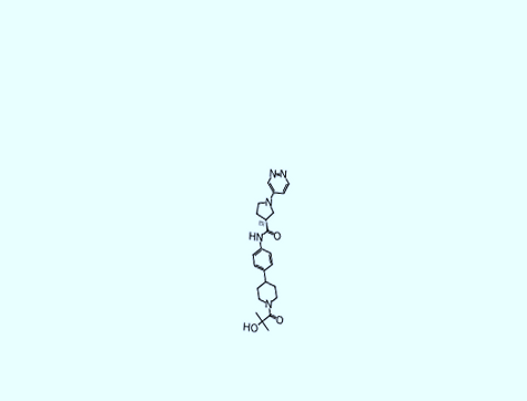 CC(C)(O)C(=O)N1CCC(c2ccc(NC(=O)[C@H]3CCN(c4ccnnc4)C3)cc2)CC1